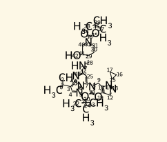 CC(C)c1cnn2c(N(Cc3ccnn3C3CC3)C(=O)OC(C)(C)C)cc(NC[C@H]3CCN(C(=O)OC(C)(C)C)C[C@@H]3O)nc12